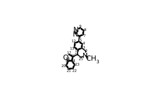 CN1Cc2cc(-c3cccnn3)ccc2C(c2coc3ccccc23)C1